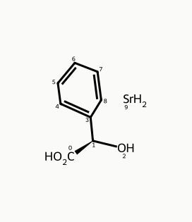 O=C(O)[C@H](O)c1ccccc1.[SrH2]